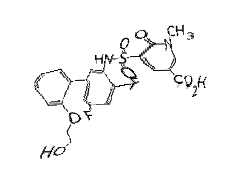 Cn1cc(C(=O)O)cc(S(=O)(=O)Nc2cc(-c3ccccc3OCCO)c(F)cc2F)c1=O